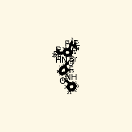 CC(F)(c1cc(Br)c(NC(=O)c2cccc(NC(=O)c3ccccc3)c2F)c(C(F)(F)F)c1)C(F)(F)F